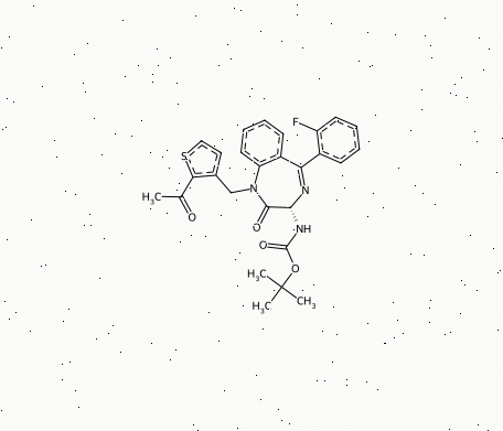 CC(=O)c1sccc1CN1C(=O)[C@@H](NC(=O)OC(C)(C)C)N=C(c2ccccc2F)c2ccccc21